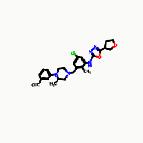 Cc1c(CN2CCN(c3cccc(C=O)c3)[C@@H](C)C2)cc(Cl)cc1Nc1nnc(C2CCOC2)o1